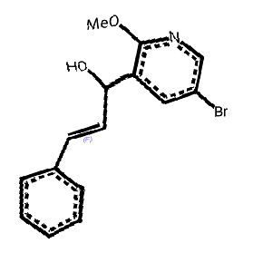 COc1ncc(Br)cc1C(O)/C=C/c1ccccc1